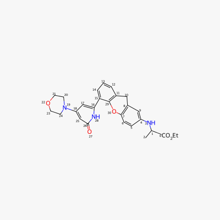 CCOC(=O)C(C)Nc1ccc2c(c1)Cc1cccc(-c3cc(N4CCOCC4)cc(=O)[nH]3)c1O2